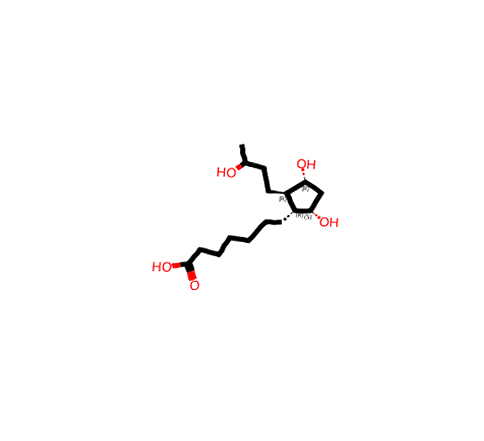 CC(O)CC[C@@H]1[C@@H](CCCCCCC(=O)O)[C@@H](O)C[C@H]1O